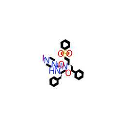 O=C(N[C@H](/C=C/S(=O)(=O)c1ccccc1)CCc1ccccc1)[C@H](Cc1ccccc1)NC(=O)N1CCN(I)CC1